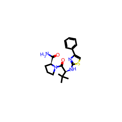 CC(C)(C)[C@H](Nc1nc(-c2ccccc2)cs1)C(=O)N1CCC[C@H]1C(N)=O